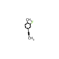 CC#Cc1ccc(C)c(F)c1